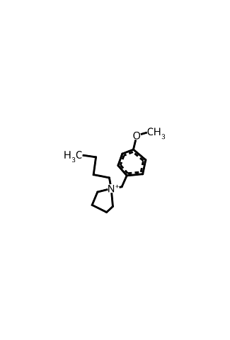 CCCC[N+]1(Cc2ccc(OC)cc2)CCCC1